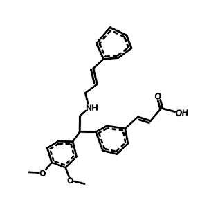 COc1ccc(C(CNCC=Cc2ccccc2)c2cccc(C=CC(=O)O)c2)cc1OC